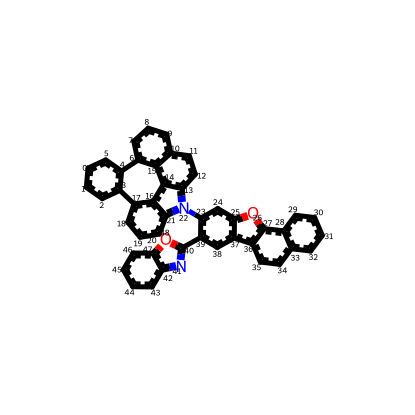 c1ccc2c(c1)-c1cccc3ccc4c(c13)c1c-2cccc1n4-c1cc2oc3c4ccccc4ccc3c2cc1-c1nc2ccccc2o1